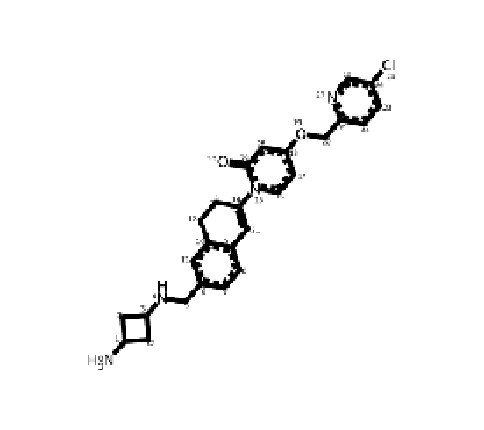 NC1CC(NCc2ccc3c(c2)CCC(n2ccc(OCc4ccc(Cl)cn4)cc2=O)=C3)C1